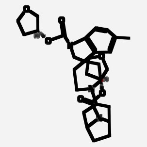 Cc1ccc2c(c1)C1(CCN(C3CC4CCC(C3)N4C(=O)O[C@@H]3CCOC3)CC1)CN2C(=O)O[C@@H]1CCOC1